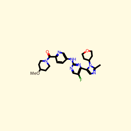 COC1CCN(C(=O)c2ccc(Nc3ncc(F)c(-c4cnc(C)n4C4CCOCC4)n3)cn2)CC1